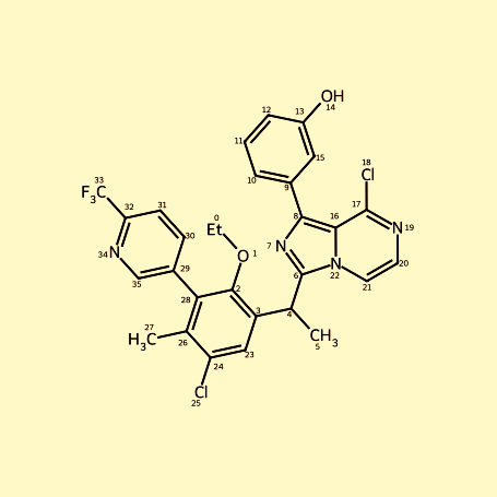 CCOc1c(C(C)c2nc(-c3cccc(O)c3)c3c(Cl)nccn23)cc(Cl)c(C)c1-c1ccc(C(F)(F)F)nc1